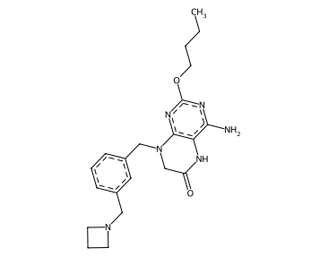 CCCCOc1nc(N)c2c(n1)N(Cc1cccc(CN3CCC3)c1)CC(=O)N2